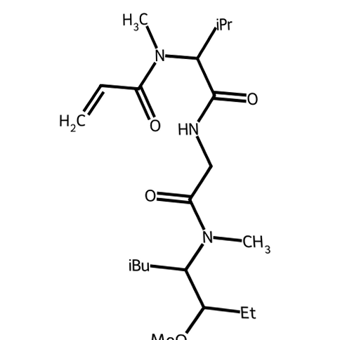 C=CC(=O)N(C)C(C(=O)NCC(=O)N(C)C(C(C)CC)C(CC)OC)C(C)C